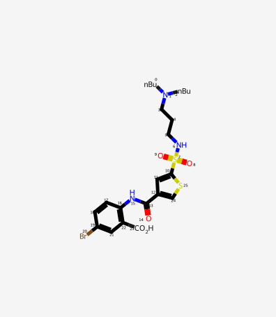 CCCCN(CCCC)CCCNS(=O)(=O)c1cc(C(=O)Nc2ccc(Br)cc2C(=O)O)cs1